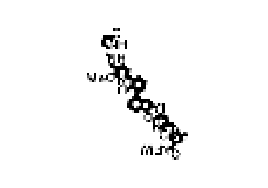 CNC(=O)C1CCN(Cc2cc(Cl)c(O[C@H]3CCC4=C(c5cccc(-c6ccc(CNC[C@@H]7CCC(=O)N7)c(OC)n6)c5Cl)CCC=C43)nc2OC)C1